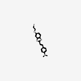 CN(C)c1ccc(/C=C/c2nc3ccc(OCCF)cc3o2)cc1